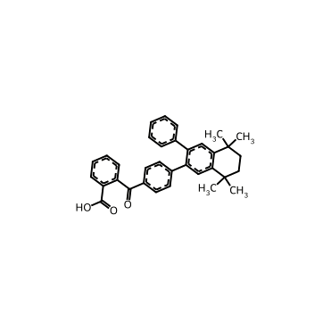 CC1(C)CCC(C)(C)c2cc(-c3ccc(C(=O)c4ccccc4C(=O)O)cc3)c(-c3ccccc3)cc21